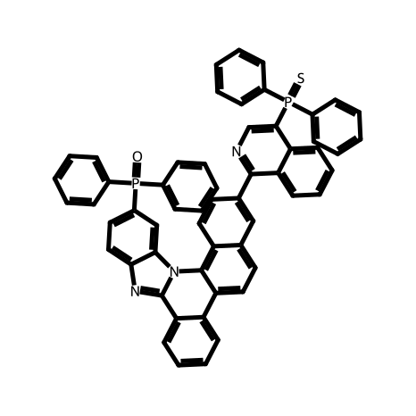 O=P(c1ccccc1)(c1ccccc1)c1ccc2nc3c4ccccc4c4ccc5cc(-c6ncc(P(=S)(c7ccccc7)c7ccccc7)c7ccccc67)ccc5c4n3c2c1